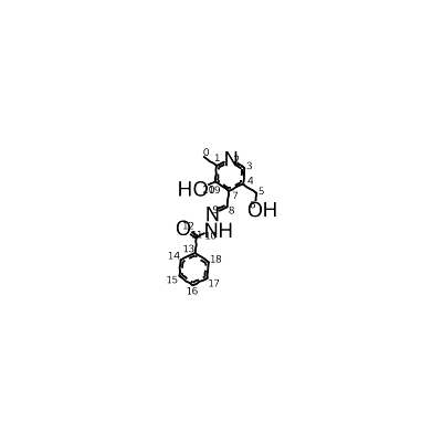 Cc1ncc(CO)c(C=NNC(=O)c2ccccc2)c1O